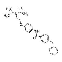 CC(C)N(CCOc1ccc(NC(=O)c2ccc(Cc3ccccc3)cc2)cc1)C(C)C